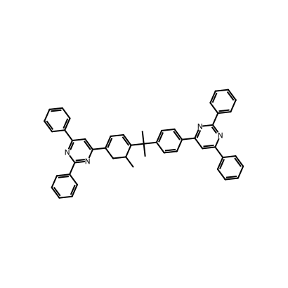 CC1CC(c2cc(-c3ccccc3)nc(-c3ccccc3)n2)=CC=C1C(C)(C)c1ccc(-c2cc(-c3ccccc3)nc(-c3ccccc3)n2)cc1